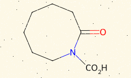 O=C(O)N1CCCCCCC1=O